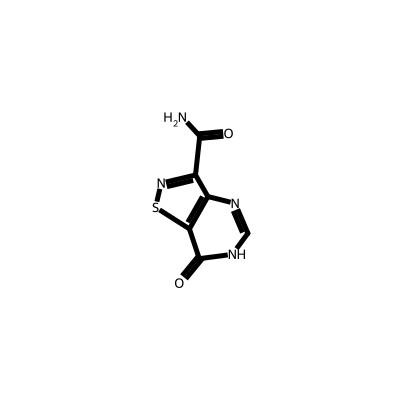 NC(=O)c1nsc2c(=O)[nH]cnc12